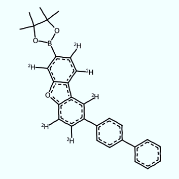 [2H]c1c(-c2ccc(-c3ccccc3)cc2)c([2H])c2c(oc3c([2H])c(B4OC(C)(C)C(C)(C)O4)c([2H])c([2H])c32)c1[2H]